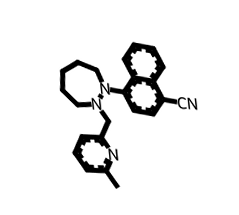 Cc1cccc(CN2CCCCCN2c2ccc(C#N)c3ccccc23)n1